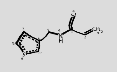 C=CC(=O)NCc1ccsc1